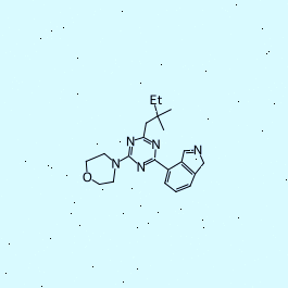 CCC(C)(C)Cc1nc(-c2cccc3c2C=NC3)nc(N2CCOCC2)n1